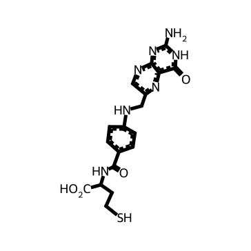 Nc1nc2ncc(CNc3ccc(C(=O)NC(CCS)C(=O)O)cc3)nc2c(=O)[nH]1